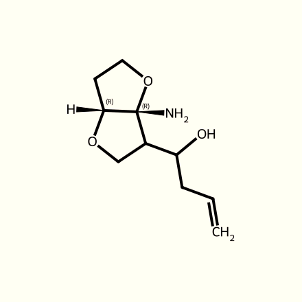 C=CCC(O)C1CO[C@@H]2CCO[C@]12N